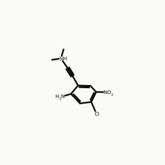 C[SiH](C)C#Cc1cc([N+](=O)[O-])c(Cl)cc1N